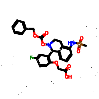 CS(=O)(=O)Nc1cccc2c1CCN(OC(=O)OCc1ccccc1)C2c1cc(F)ccc1OCC(=O)O